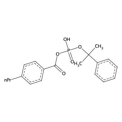 CCCc1ccc(C(=O)OP(=O)(O)OC(C)(C)c2ccccc2)cc1